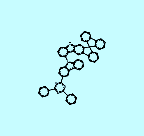 c1ccc(-c2nc(-c3ccccc3)nc(-c3ccc4c(c3)c3ccccc3n4-c3cccc4oc5cc6c(cc5c34)-c3ccccc3C63c4ccccc4-c4ccccc43)n2)cc1